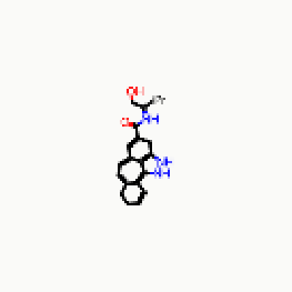 CC(C)C(CO)NC(=O)C1=CC2=CC=C3CCC=CC3=C3NNC(=C23)C1